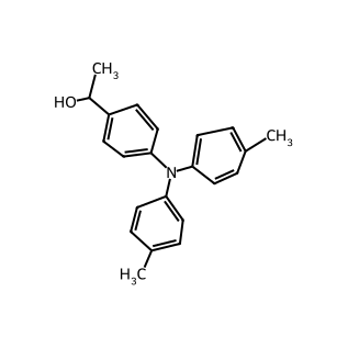 Cc1ccc(N(c2ccc(C)cc2)c2ccc(C(C)O)cc2)cc1